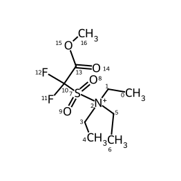 CC[N+](CC)(CC)S(=O)(=O)C(F)(F)C(=O)OC